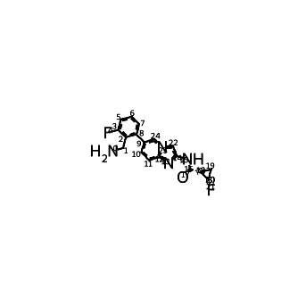 NCc1c(F)cccc1-c1ccc2nc(NC(=O)[C@@H]3C[C@@H]3F)cn2c1